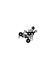 CC(C)(C)CNc1c(C#N)cnc2c(N[C@H](c3cn(Cc4c(F)cccc4F)nn3)c3ccccc3Cl)cc(C#N)cc12